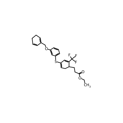 CCOC(=O)CCC1CC=C(Sc2cccc(OCC3=CCCC=C3)c2)C=C1C(F)(F)F